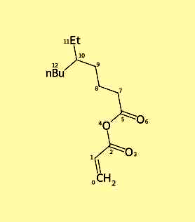 C=CC(=O)OC(=O)CCCC(CC)CCCC